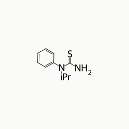 CC(C)N(C(N)=S)c1ccccc1